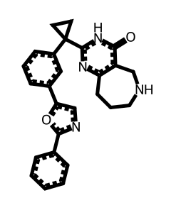 O=c1[nH]c(C2(c3cccc(-c4cnc(-c5ccccc5)o4)c3)CC2)nc2c1CNCCC2